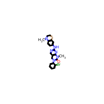 CN1CCSc2cc(Nc3ncc4c(n3)N(C)C(=O)N(c3ccccc3Br)C4)ccc21